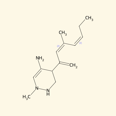 C=C(/C=C(C)\C=C/CC)C1CNN(C)C=C1N